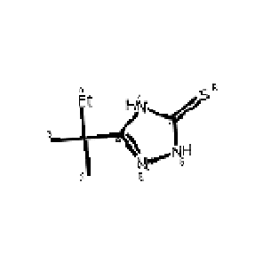 CCC(C)(C)c1n[nH]c(=S)[nH]1